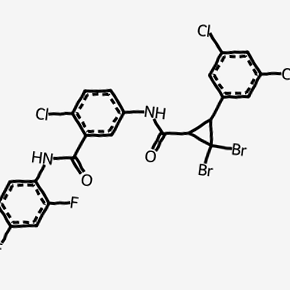 O=C(Nc1ccc(F)cc1F)c1cc(NC(=O)C2C(c3cc(Cl)cc(Cl)c3)C2(Br)Br)ccc1Cl